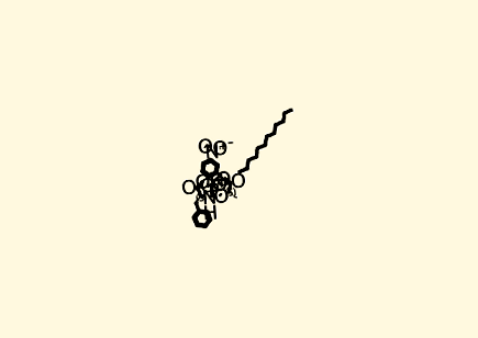 CCCCCCCCCCCCOC(=O)[C@H](C)OP(=O)(N[C@@H](Cc1ccccc1)C(=O)O)Oc1ccc([N+](=O)[O-])cc1